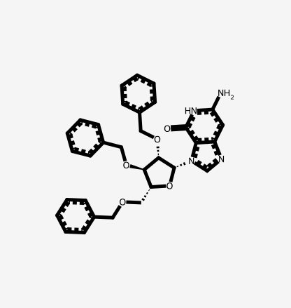 Nc1cc2ncn([C@@H]3O[C@H](COCc4ccccc4)[C@@H](OCc4ccccc4)[C@@H]3OCc3ccccc3)c2c(=O)[nH]1